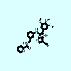 COc1cc(-c2[nH]c3c(C#N)cnn3c2Nc2cccc(CNC(=O)c3ccccn3)c2)cc(OC)c1OC